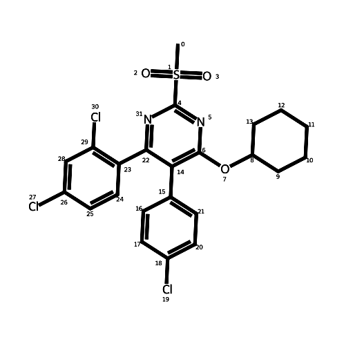 CS(=O)(=O)c1nc(OC2CCCCC2)c(-c2ccc(Cl)cc2)c(-c2ccc(Cl)cc2Cl)n1